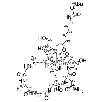 CCC(C)C1NC(=O)CNC(=O)C2Cc3c([nH]c4cc(OCCCCCCNC(=O)OC(C)(C)C)ccc34)SC[C@H](NC(=O)CNC1=O)C(=O)NC(CC(N)=O)C(=O)N1C[C@H](O)CC1C(=O)NC([C@@H](C)C(O)CO)C(=O)N2